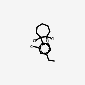 CCc1ccc(C2(Cl)CCCCCC2(Cl)Cl)c(Cl)c1